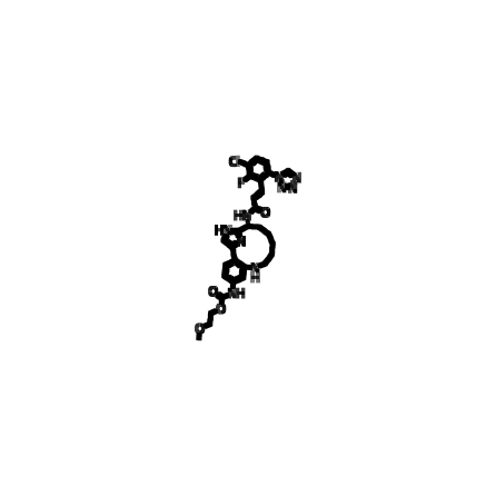 COCCOC(=O)Nc1ccc2c(c1)NCCCCC[C@H](NC(=O)/C=C/c1c(-n3cnnn3)ccc(Cl)c1F)c1nc-2c[nH]1